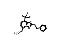 COc1ncc(C(F)(F)F)c2nc(SCc3ccccc3)nn12